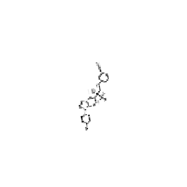 N#Cc1cccc(OCC(O)(c2ccc3c(cnn3-c3ccc(F)cc3)c2)C(F)(F)F)c1